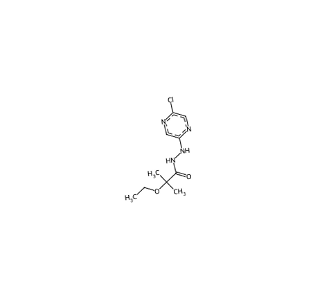 CCOC(C)(C)C(=O)NNc1cnc(Cl)cn1